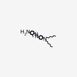 CCCCCCN(CCCCCC)c1ccc(/N=N/c2ccc(N)cc2C)cc1